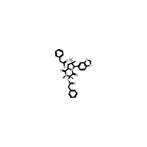 CN1C(=O)[C@@]2(SC(=O)Cc3ccccc3)C[C@](C)(C#N)C(c3ccc4c(c3)OCO4)N2C(=O)[C@]1(C)SC(=O)Cc1ccccc1